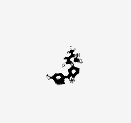 COc1ccc(-c2nsc3ccc(-n4c(=O)[nH]c(C(F)(F)F)c(C)c4=O)cc23)cc1